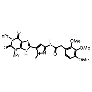 CCCn1c(=O)c2nc(-c3cc(NC(=O)Cc4ccc(OC)c(OC)c4OC)nn3C)[nH]c2n(CCC)c1=O